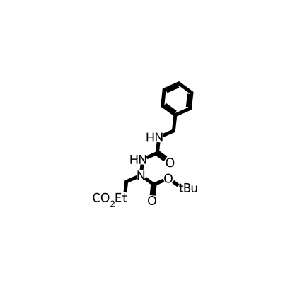 CCOC(=O)CN(NC(=O)NCc1ccccc1)C(=O)OC(C)(C)C